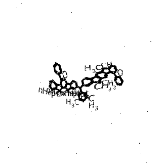 CCCCCCCC1(CCCCCCC)c2cc(C(c3cc(C)cc(C)c3)c3ccc4c(c3)C(C)(C)c3cc5c(cc3-4)C(C)(C)c3ccc4oc6ccccc6c4c3-5)ccc2-c2c1c1c(c3c2oc2ccccc23)-c2ccccc2C1(CCCCCCC)CCCCCCC